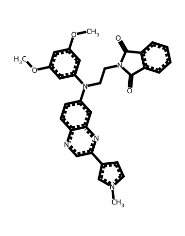 COc1cc(OC)cc(N(CCN2C(=O)c3ccccc3C2=O)c2ccc3ncc(-c4ccn(C)c4)nc3c2)c1